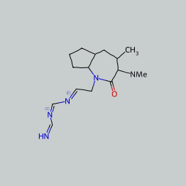 CNC1C(=O)N(C/C=N/C=N\C=N)C2CCCC2CC1C